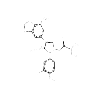 CCCCN(CCCC)C(=O)CN1C[C@H](c2cc(OC)c3c(c2)OCO3)[C@H](C(=O)O)[C@H]1c1ccc(OC)c(F)c1